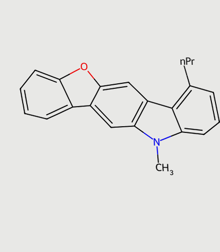 CCCc1cccc2c1c1cc3oc4ccccc4c3cc1n2C